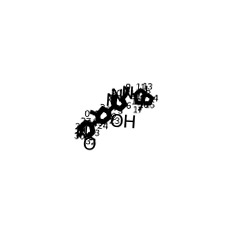 Cc1cc(-c2ccc(N(C)[C@H]3C[C@]4(C)CC[C@](C)(C3)C4)nn2)c(O)cc1-c1ccn(C)c(=O)c1